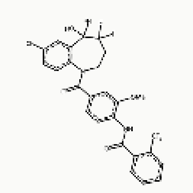 [2H]C1(O)c2cc(Cl)ccc2N(C(=O)c2ccc(NC(=O)c3ccccc3C(F)(F)F)c(OC)c2)CCC1(F)F